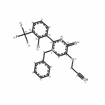 C#CCOc1cn(Cc2ccccc2)c(-c2cccc(C(F)(F)F)c2Cl)nc1=O